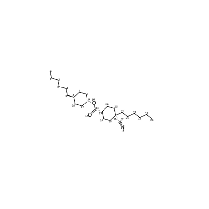 CCCCCC[C@H]1CC[C@H](OC(=O)[C@H]2CC[C@](C#N)(CCCCCC)CC2)CC1